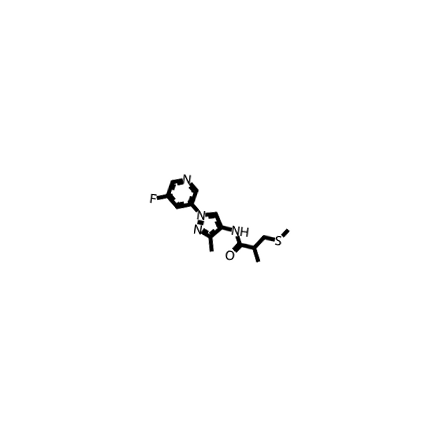 CSCC(C)C(=O)Nc1cn(-c2cncc(F)c2)nc1C